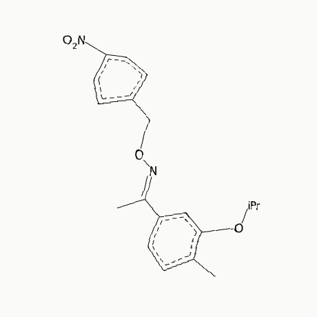 C/C(=N\OCc1ccc([N+](=O)[O-])cc1)c1ccc(C)c(OC(C)C)c1